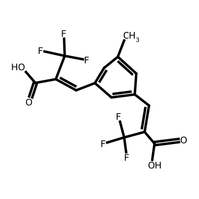 Cc1cc(/C=C(/C(=O)O)C(F)(F)F)cc(/C=C(/C(=O)O)C(F)(F)F)c1